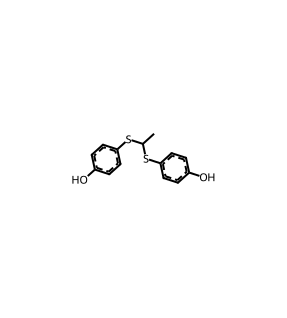 CC(Sc1ccc(O)cc1)Sc1ccc(O)cc1